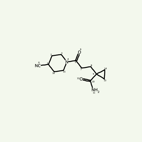 N#CC1CCN(C(=O)[CH]CC2(C(N)=O)CC2)CC1